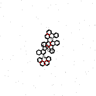 CC1(C2(C)c3ccccc3-c3c2cc(N(c2ccccc2-c2ccccc2)c2ccccc2-c2ccccc2)c2c3CCCC2)C2=C(c3ccccc31)C1C=CC=CC1C(N(c1ccccc1-c1ccccc1)c1ccccc1-c1ccccc1)=C2